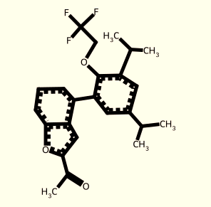 CC(=O)c1cc2c(-c3cc(C(C)C)cc(C(C)C)c3OCC(F)(F)F)cccc2o1